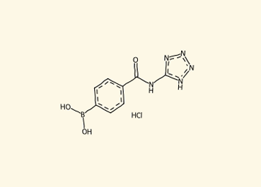 Cl.O=C(Nc1nnn[nH]1)c1ccc(B(O)O)cc1